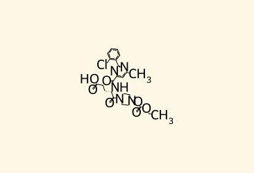 CCOC(=O)ON1CCN(C(=O)[C@H](CCC(=O)O)NC(=O)c2cc(C)nc(-c3ccccc3Cl)n2)CC1